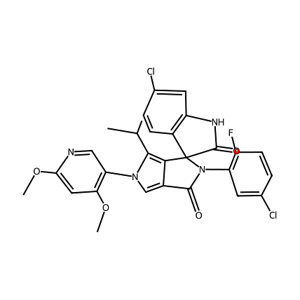 COc1cc(OC)c(-n2cc3c(c2C(C)C)C2(C(=O)Nc4cc(Cl)ccc42)N(c2cc(Cl)ccc2F)C3=O)cn1